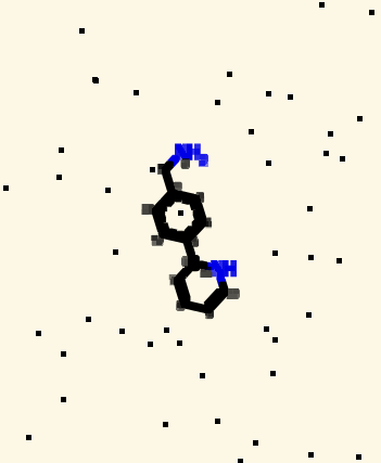 NCc1ccc(B2C=CC=CN2)cc1